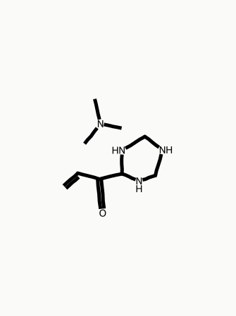 C=CC(=O)C1NCNCN1.CN(C)C